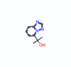 CC(C)(O)c1cccc2ncnn12